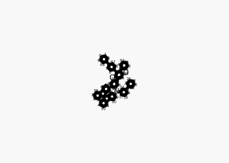 c1ccc(-c2ccc(-c3c4oc5ccc(N(c6cccc(-c7ccccc7)c6)c6ccc7c(c6)C6(c8ccccc8-c8ccccc86)c6ccccc6-7)cc5c4cc4oc5ccccc5c34)cc2)cc1